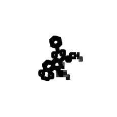 COC(=O)c1nc(N)c2c3c(ccc2c1OCc1ccccc1)OCCO3